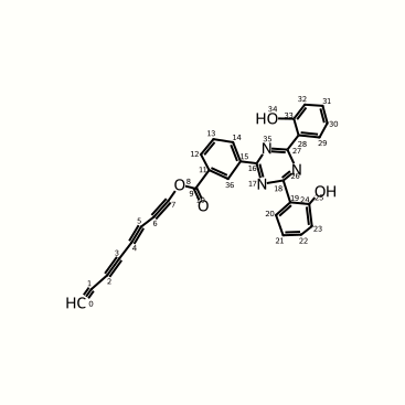 C#CC#CC#CC#COC(=O)c1cccc(-c2nc(-c3ccccc3O)nc(-c3ccccc3O)n2)c1